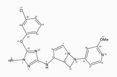 CCCn1nc(NC2C=CN3C2CN3c2ccnc(OC)c2)nc1Oc1cccc(Cl)c1